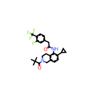 CC(C)(C)C(=O)N1CCc2c(ccc(C3CC3)c2NC(=O)Cc2ccc(C(F)(F)F)c(F)c2)C1